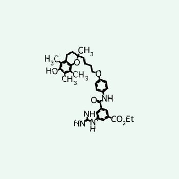 CCOC(=O)c1cc(NC(=N)N)cc(C(=O)Nc2ccc(OCCCCC3(C)CCc4c(C)c(O)c(C)c(C)c4O3)cc2)c1